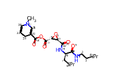 CC(C)CCNC(=O)[C@@H](CC(C)C)NC(=O)[C@@H]1O[C@H]1C(=O)OC(=O)C1=CN(C)C=CC1